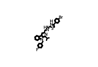 CC(C)c1nc(/C=N/NC2NC(c3ccc(Br)cc3)=CS2)cc2c3ccccc3n(Cc3ccc(F)cc3)c12